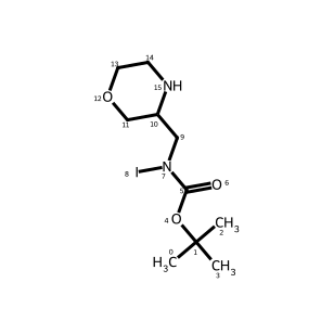 CC(C)(C)OC(=O)N(I)CC1COCCN1